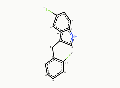 Fc1ccc2[nH]cc(Cc3ccccc3F)c2c1